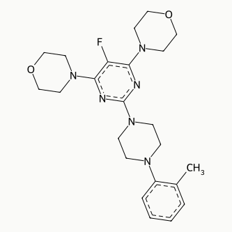 Cc1ccccc1N1CCN(c2nc(N3CCOCC3)c(F)c(N3CCOCC3)n2)CC1